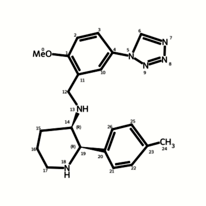 COc1ccc(-n2cnnn2)cc1CN[C@@H]1CCCN[C@@H]1c1ccc(C)cc1